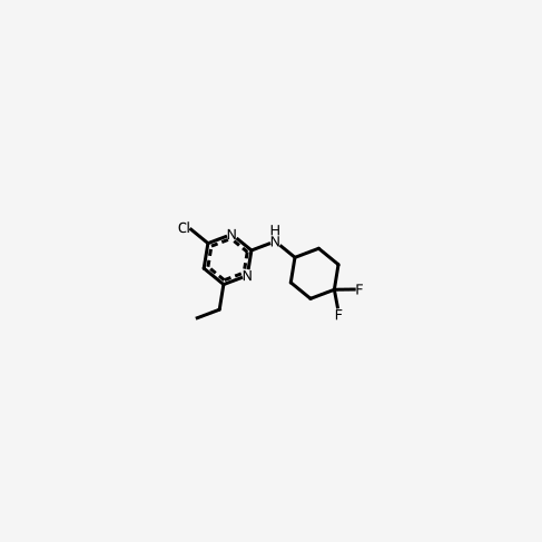 CCc1cc(Cl)nc(NC2CCC(F)(F)CC2)n1